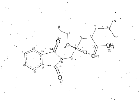 CCOP(=O)(CC(CC(C)C)C(=O)O)CN1C(=O)c2ccccc2C1=O